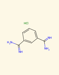 Cl.N=C(N)c1cccc(C(=N)N)c1